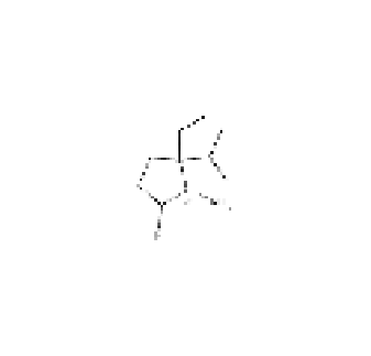 CCC1(C(C)C)CCC(F)[C@H]1N